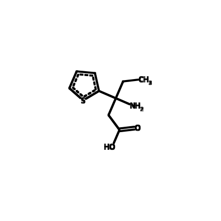 CCC(N)(CC(=O)O)c1cccs1